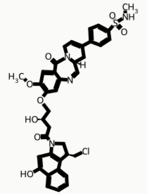 CNS(=O)(=O)c1ccc(C2=CCN3C(=O)c4cc(OC)c(OC[C@@H](O)CC(=O)N5C[C@@H](CCl)c6c5cc(O)c5ccccc65)cc4N=C[C@@H]3C2)cc1